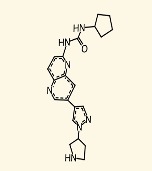 O=C(Nc1ccc2ncc(-c3cnn(C4CCNC4)c3)cc2n1)NC1CCCC1